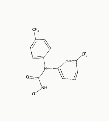 O=C(NCl)N(c1ccc(C(F)(F)F)cc1)c1cccc(C(F)(F)F)c1